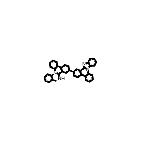 Cc1ccccc1-n1c(=N)c2cc(-c3ccc4c5ccccc5n5c6ccccc6nc5c4c3)ccc2c2ccccc21